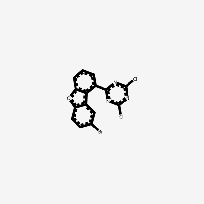 Clc1nc(Cl)nc(-c2cccc3oc4ccc(Br)cc4c23)n1